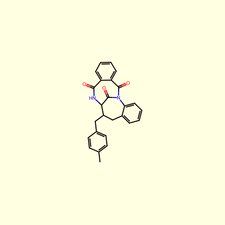 Cc1ccc(CC2Cc3ccccc3N3C(=O)c4ccccc4C(=O)NC2C3=O)cc1